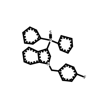 Fc1ccc(Cn2cc(P(=S)(c3ccccc3)c3ccccc3)c3ccccc32)cc1